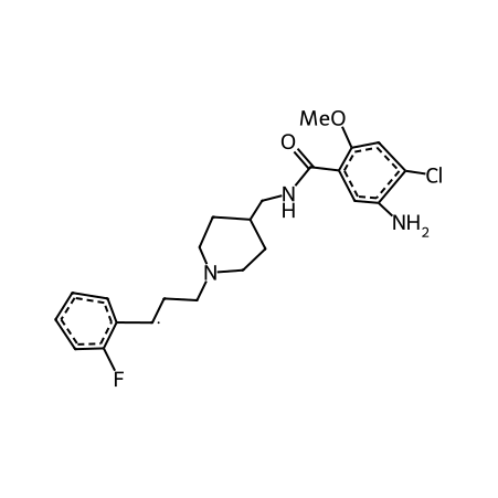 COc1cc(Cl)c(N)cc1C(=O)NCC1CCN(CC[CH]c2ccccc2F)CC1